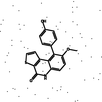 COc1ccc2[nH]c(=O)c3sccc3c2c1-c1ccc(O)cc1